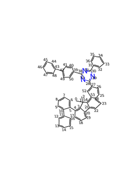 CC1(C)c2c(-c3ccccc3-c3ccccc3)cccc2-c2ccc3ccc(-c4nc(-c5ccccc5)nc(-c5ccc(-c6ccccc6)cc5)n4)cc3c21